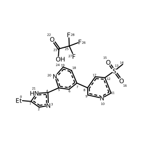 CCc1cnc(-c2cc(-c3cncc(S(C)(=O)=O)c3)ccn2)[nH]1.O=C(O)C(F)(F)F